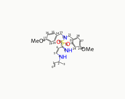 C=CC(C)N/C=C\C(=N)S(=O)(=O)N(Cc1ccc(OC)cc1)Cc1ccc(OC)cc1